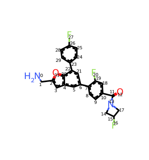 NCc1cc2cc(-c3ccc(C(=O)N4CC(F)C4)cc3F)cc(-c3ccc(F)cc3)c2o1